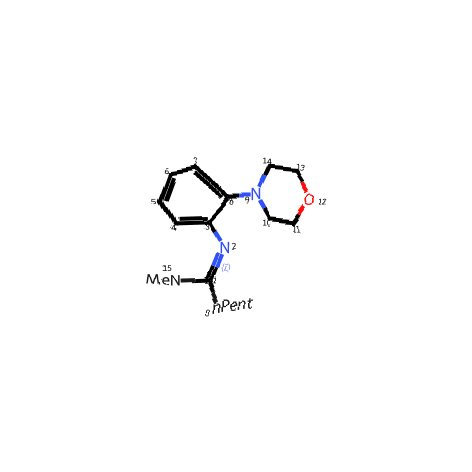 CCCCC/C(=N/c1ccccc1N1CCOCC1)NC